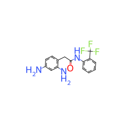 Nc1ccc(CC(=O)Nc2ccccc2C(F)(F)F)c(N)c1